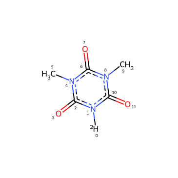 [2H]n1c(=O)n(C)c(=O)n(C)c1=O